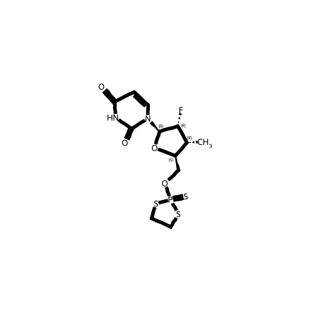 C[C@H]1[C@@H](F)[C@H](n2ccc(=O)[nH]c2=O)O[C@@H]1COP1(=S)SCCS1